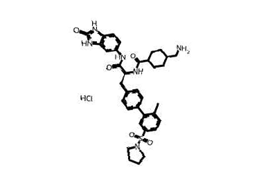 Cc1ccc(S(=O)(=O)N2CCCC2)cc1-c1ccc(C[C@H](NC(=O)C2CCC(CN)CC2)C(=O)Nc2ccc3[nH]c(=O)[nH]c3c2)cc1.Cl